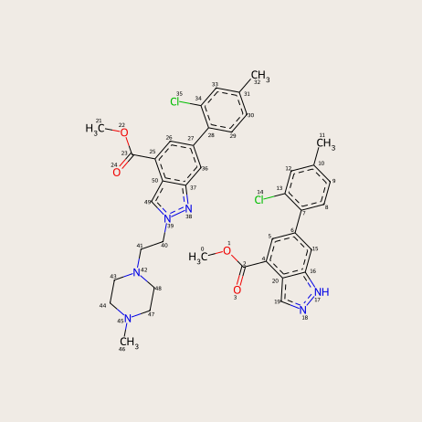 COC(=O)c1cc(-c2ccc(C)cc2Cl)cc2[nH]ncc12.COC(=O)c1cc(-c2ccc(C)cc2Cl)cc2nn(CCN3CCN(C)CC3)cc12